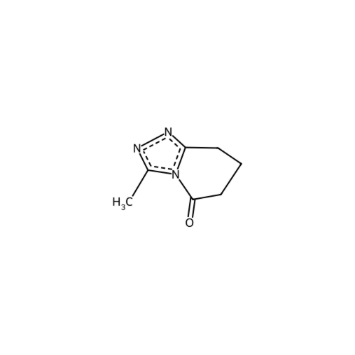 Cc1nnc2n1C(=O)CCC2